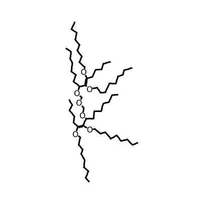 CCCCCCCCCOC(CCCCC)=C(OCCCCCCCCC)C(CCCCCCC)OCOCOC(CCCCCCC)C(OCCCCCCCCC)=C(CCCCC)OCCCCCCCCC